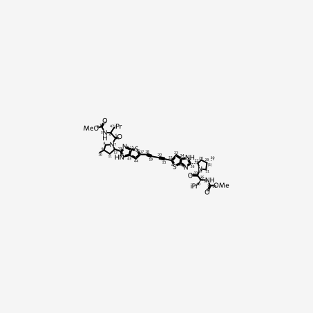 COC(=O)NC(C(=O)N1CC(C)CC1c1nc2sc(C#CC#Cc3cc4[nH]c([C@@H]5C[C@H](C)CN5C(=O)[C@@H](NC(=O)OC)C(C)C)nc4s3)cc2[nH]1)C(C)C